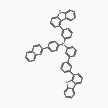 c1cc(-c2cccc(N(c3ccc(-c4ccc5ccccc5c4)cc3)c3cccc(-c4cccc5sc6ccccc6c45)c3)c2)cc(-c2cccc3c2sc2ccccc23)c1